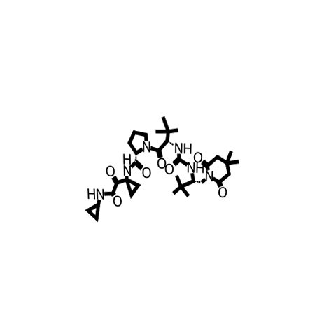 CC1(C)CC(=O)N(C[C@@H](NC(=O)N[C@H](C(=O)N2CCC[C@H]2C(=O)NC2(C(=O)C(=O)NC3CC3)CC2)C(C)(C)C)C(C)(C)C)C(=O)C1